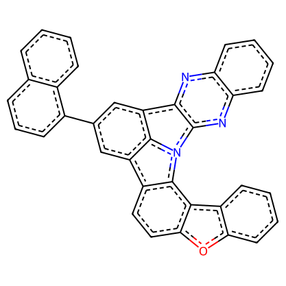 c1ccc2c(-c3cc4c5ccc6oc7ccccc7c6c5n5c6nc7ccccc7nc6c(c3)c45)cccc2c1